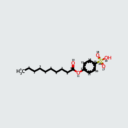 CCCCCCCCCC(=O)Oc1ccc(S(=O)(=O)O)cc1